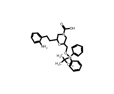 CC(C)(C)[Si](OCC1CN(C(=O)O)CC(CCc2ccccc2N)O1)(c1ccccc1)c1ccccc1